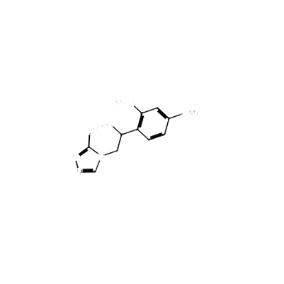 CCCCC(Cn1cnnc1C)c1ccc(OC)cc1OC